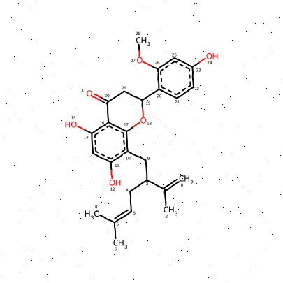 C=C(C)C(CC=C(C)C)Cc1c(O)cc(O)c2c1OC(c1ccc(O)cc1OC)CC2=O